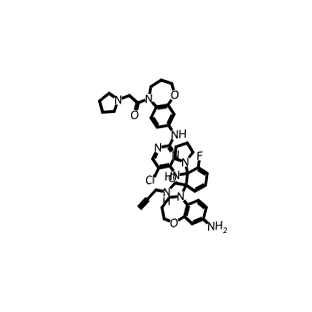 C#CCNC(=O)C1(N2CCCOc3cc(N)ccc32)C=CC=C(F)C1(Nc1nc(Nc2ccc3c(c2)OCCCN3C(=O)CN2CCCC2)ncc1Cl)N1CCCC1